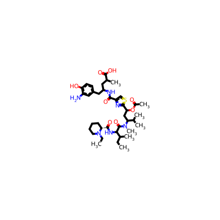 CCC(C)C(NC(=O)[C@H]1CCCCN1CC)C(=O)N(C)C(CC(OC(C)=O)c1nc(C(=O)NC(Cc2ccc(O)c(N)c2)CC(C)C(=O)O)cs1)C(C)C